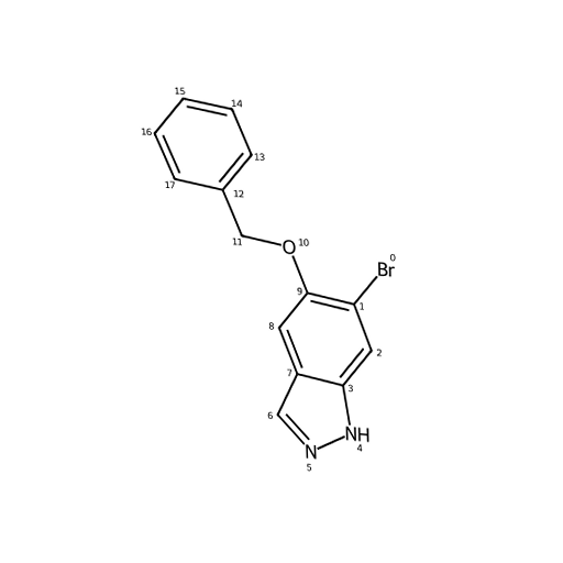 Brc1cc2[nH]ncc2cc1OCc1ccccc1